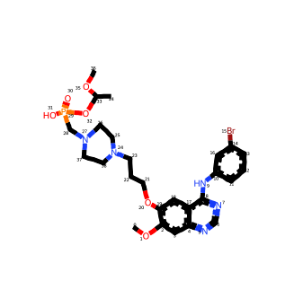 COc1cc2ncnc(Nc3cccc(Br)c3)c2cc1OCCCN1CCN(CP(=O)(O)OC(C)OC)CC1